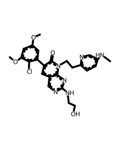 CNc1ccc(CCn2c(=O)c(-c3cc(OC)cc(OC)c3Cl)cc3cnc(NCCO)nc32)nc1